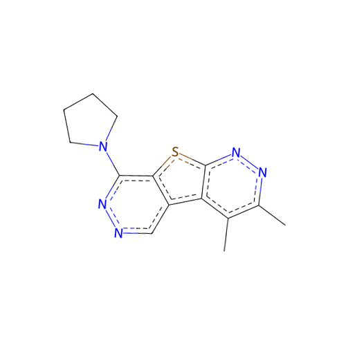 Cc1nnc2sc3c(N4CCCC4)nncc3c2c1C